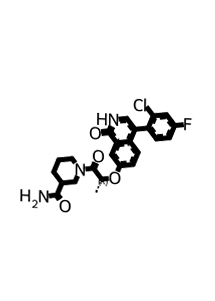 C[C@@H](Oc1ccc2c(-c3ccc(F)cc3Cl)c[nH]c(=O)c2c1)C(=O)N1CCCC(C(N)=O)C1